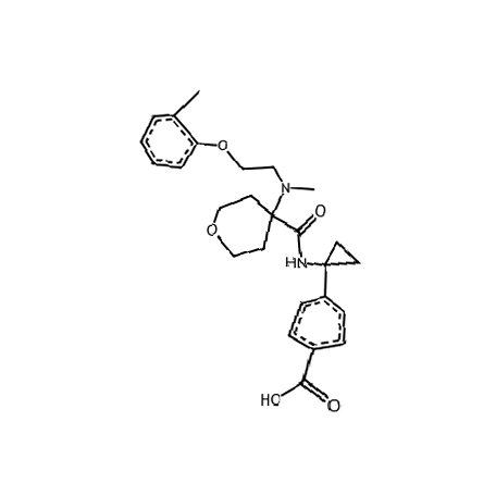 Cc1ccccc1OCCN(C)C1(C(=O)NC2(c3ccc(C(=O)O)cc3)CC2)CCOCC1